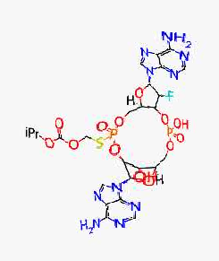 CC(C)OC(=O)OCSP1(=O)OC[C@H]2O[C@@H](n3cnc4c(N)ncnc43)C(F)C2OP(=O)(O)OC[C@H]2O[C@@H](n3cnc4c(N)ncnc43)C(O1)C2O